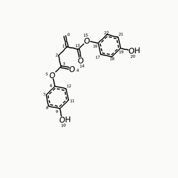 C=C(CC(=O)Oc1ccc(O)cc1)C(=O)Oc1ccc(O)cc1